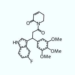 COc1cc(C(CC(=O)N2CCC=CC2=O)c2c[nH]c3ccc(F)cc23)cc(OC)c1OC